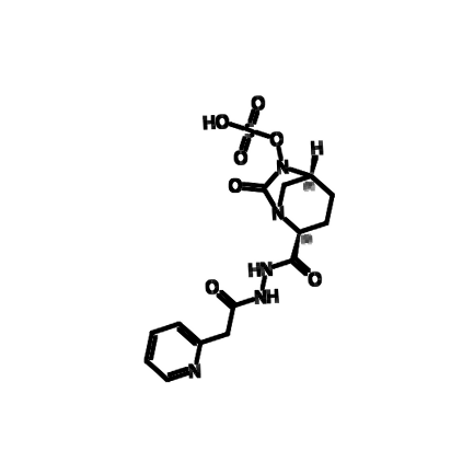 O=C(Cc1ccccn1)NNC(=O)[C@@H]1CC[C@@H]2CN1C(=O)N2OS(=O)(=O)O